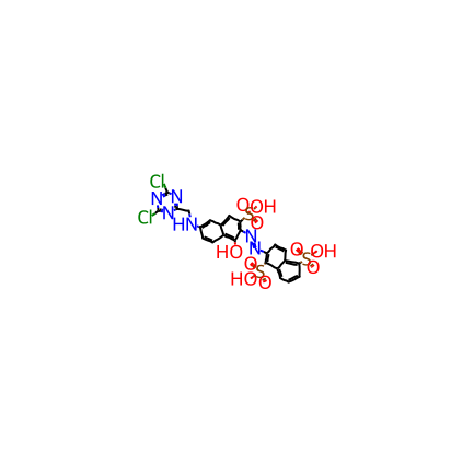 O=S(=O)(O)c1cc2cc(NCc3nc(Cl)nc(Cl)n3)ccc2c(O)c1N=Nc1ccc2c(S(=O)(=O)O)cccc2c1S(=O)(=O)O